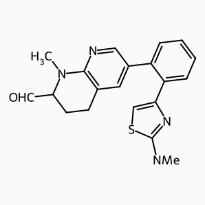 CNc1nc(-c2ccccc2-c2cnc3c(c2)CCC(C=O)N3C)cs1